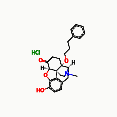 CN1CC[C@]23c4c5ccc(O)c4O[C@H]2C(=O)CC[C@@]3(OCCCc2ccccc2)[C@H]1C5.Cl